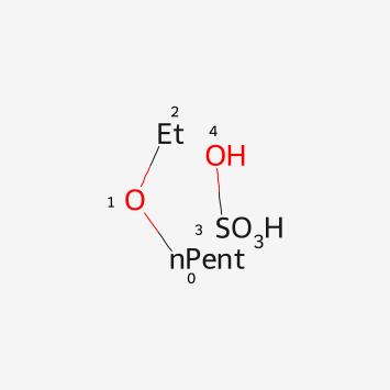 CCCCCOCC.O=S(=O)(O)O